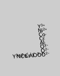 [Al].[Al].[Co].[Co].[Cr].[Cr].[Ni+2].[Ni+2].[O-2].[O-2].[O-2].[O-2].[O-2].[Y+3].[Y+3]